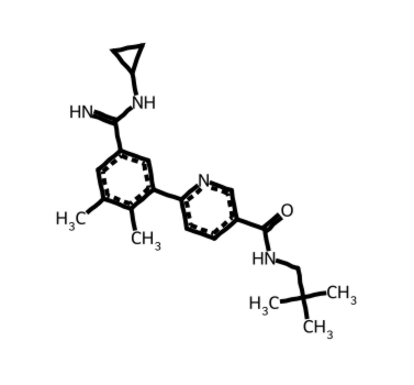 Cc1cc(C(=N)NC2CC2)cc(-c2ccc(C(=O)NCC(C)(C)C)cn2)c1C